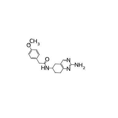 COc1ccc(CC(=O)NC2CCc3nc(N)ncc3C2)cc1